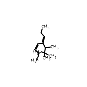 BC/C=C\C(=C/CC)C(C)C(C)(C)C